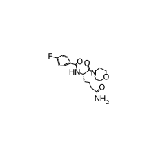 NC(=O)CCC[C@H](NC(=O)c1ccc(F)cc1)C(=O)N1CCOCC1